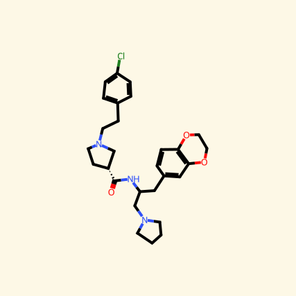 O=C(NC(Cc1ccc2c(c1)OCCO2)CN1CCCC1)[C@@H]1CCN(CCc2ccc(Cl)cc2)C1